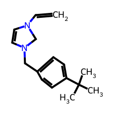 C=CN1C=CN(Cc2ccc(C(C)(C)C)cc2)C1